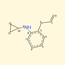 C=CCc1ccccc1NC1CC1